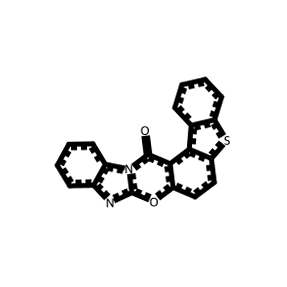 O=c1c2c(ccc3sc4ccccc4c32)oc2nc3ccccc3n12